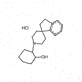 Cl.OC1CCCCC1N1CCC2(CCc3ccccc32)CC1